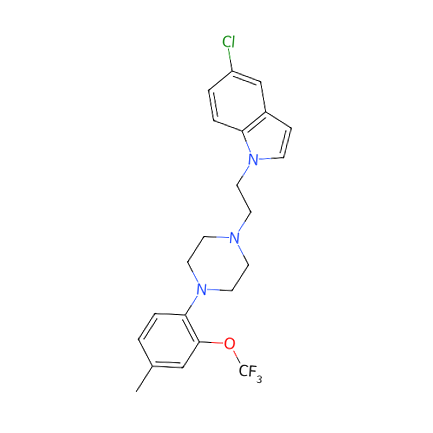 Cc1ccc(N2CCN(CCn3ccc4cc(Cl)ccc43)CC2)c(OC(F)(F)F)c1